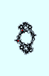 CC(C)C[C@H]1C(=O)O[C@H](Cc2ccc(Cn3ccc(-c4ccncc4)n3)cc2)C(=O)N(C)[C@@H](CC(C)C)C(=O)O[C@H](C)C(=O)N(C)[C@@H](CC(C)C)C(=O)O[C@H](Cc2ccc(Cn3ccc(-c4ccncc4)n3)cc2)C(=O)N(C)[C@@H](CC(C)C)C(=O)O[C@H](C)C(=O)N1C